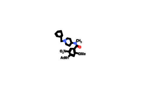 COc1cc(NC(C)=O)c([N+](=O)[O-])cc1C(=O)N(C)C1CCN(Cc2ccccc2)CC1